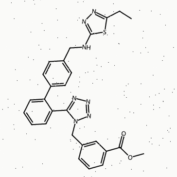 CCc1nnc(NCc2ccc(-c3ccccc3-c3nnnn3Cc3cccc(C(=O)OC)c3)cc2)s1